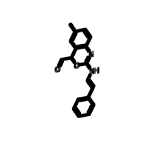 Cc1ccc2c(c1)C(C=O)OC(NC=Cc1ccccc1)=N2